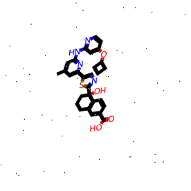 Cc1cc(Nc2cc(OC3CCC3)ccn2)nc(-c2cnc(C3(O)CCCc4cc(C(=O)O)ccc43)s2)c1